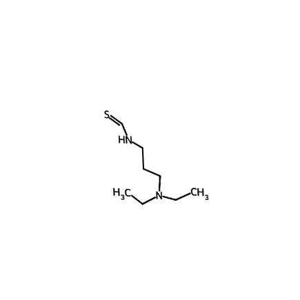 CCN(CC)CCCNC=S